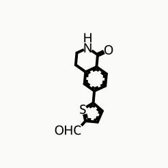 O=Cc1ccc(-c2ccc3c(c2)CCNC3=O)s1